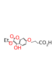 CCOc1c(O)c2ccc(OCCCC(=O)O)cc2oc1=O